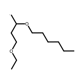 [CH2]C(CCOCC)OCCCCCC